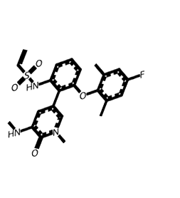 C=CS(=O)(=O)Nc1cccc(Oc2c(C)cc(F)cc2C)c1-c1cc(NC)c(=O)n(C)c1